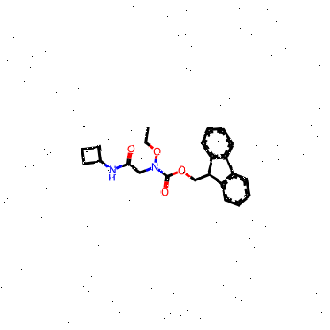 CCON(CC(=O)NC1CCC1)C(=O)OCC1c2ccccc2-c2ccccc21